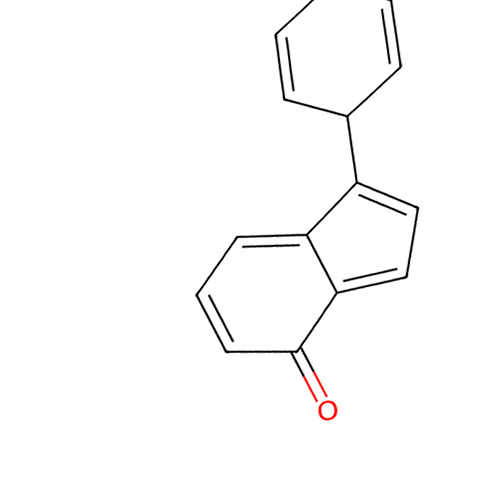 O=C1C=CC=C2C1=CC=C2C1C=CCC=C1